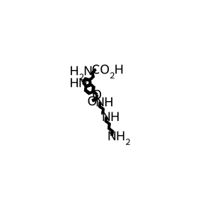 NCCCCNCCCNC(=O)Oc1ccc2[nH]cc(CC(N)C(=O)O)c2c1